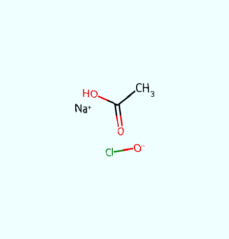 CC(=O)O.[Na+].[O-]Cl